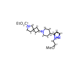 CCOC(=O)N1CCC2(CC(N3CCC(c4ccnn4CCOC)CC3)C2)C1